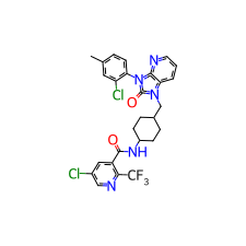 Cc1ccc(-n2c(=O)n(CC3CCC(NC(=O)c4cc(Cl)cnc4C(F)(F)F)CC3)c3cccnc32)c(Cl)c1